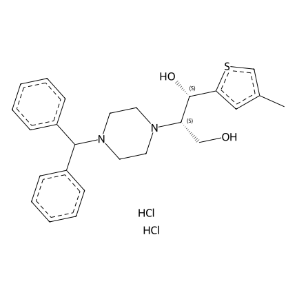 Cc1csc([C@@H](O)[C@H](CO)N2CCN(C(c3ccccc3)c3ccccc3)CC2)c1.Cl.Cl